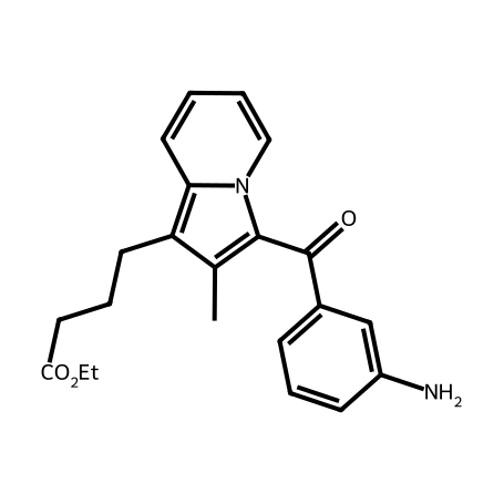 CCOC(=O)CCCc1c(C)c(C(=O)c2cccc(N)c2)n2ccccc12